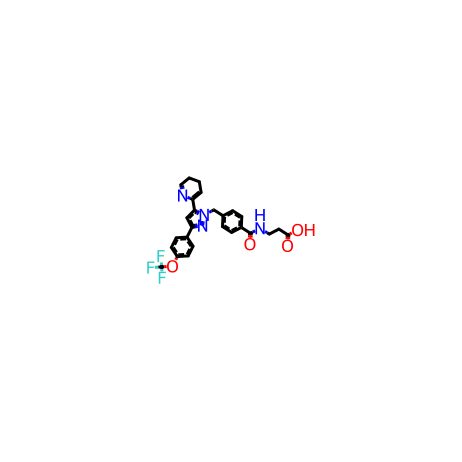 O=C(O)CCNC(=O)c1ccc(Cn2nc(-c3ccc(OC(F)(F)F)cc3)cc2C2=CCCC=N2)cc1